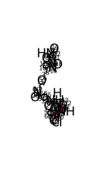 CN(CCCOCCCc1cccc2c1n(C)c(=O)n2C1CCC(=O)NC1=O)C(=O)c1ccc(NC(=O)[C@@H]2NC3(CCCCC3)[C@@]3(C(=O)Nc4cc(Cl)ccc43)[C@H]2c2cccc(Cl)c2F)cc1